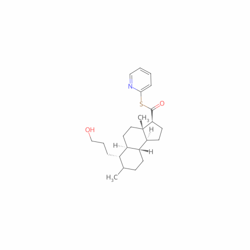 CC1CC[C@@H]2[C@H](CC[C@]3(C)[C@@H](C(=O)Sc4ccccn4)CC[C@@H]23)[C@H]1CCCO